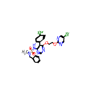 CN(Cc1ccccc1)S(=O)(=O)Nc1ncnc(OCCOc2ncc(Br)cn2)c1-c1ccc(Br)cc1